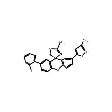 Cc1cc(-c2ccc3c(c2)[C@]2(COC(N)=N2)c2cc(-c4cccnc4F)ccc2O3)on1